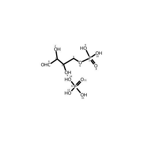 O=CC(O)C(O)COP(=O)(O)O.O=P(O)(O)O